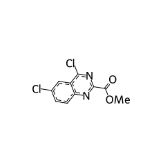 COC(=O)c1nc(Cl)c2cc(Cl)ccc2n1